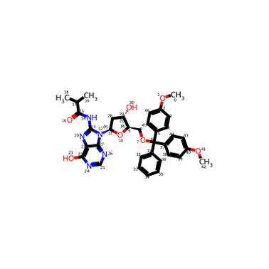 COc1ccc(C(OC[C@H]2O[C@@H](n3c(NC(=O)C(C)C)nc4c(O)ncnc43)C[C@@H]2O)(c2ccccc2)c2ccc(OC)cc2)cc1